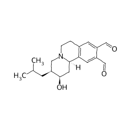 CC(C)C[C@H]1CN2CCc3cc(C=O)c(C=O)cc3[C@H]2C[C@H]1O